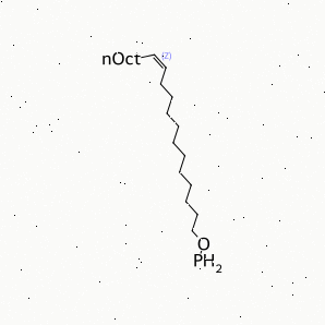 CCCCCCCC/C=C\CCCCCCCCCCCOP